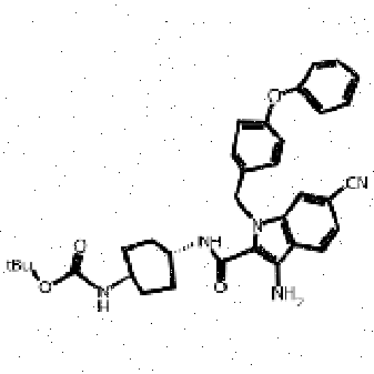 CC(C)(C)OC(=O)N[C@H]1CC[C@H](NC(=O)c2c(N)c3ccc(C#N)cc3n2Cc2ccc(Oc3ccccc3)cc2)CC1